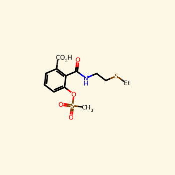 CCSCCNC(=O)c1c(OS(C)(=O)=O)cccc1C(=O)O